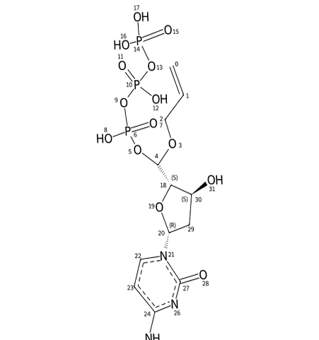 C=CCOC(OP(=O)(O)OP(=O)(O)OP(=O)(O)O)[C@H]1O[C@@H](n2ccc(N)nc2=O)C[C@@H]1O